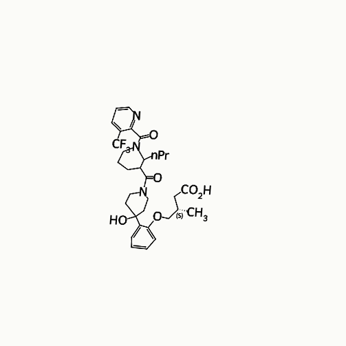 CCCC1C(C(=O)N2CCC(O)(c3ccccc3OC[C@@H](C)CC(=O)O)CC2)CCCN1C(=O)c1ncccc1C(F)(F)F